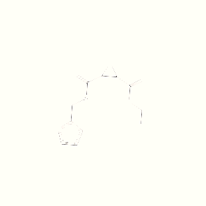 CCOC(=O)C1OC1C(=O)NCc1ccco1